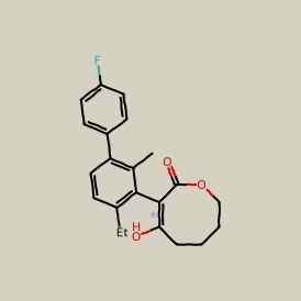 CCc1ccc(-c2ccc(F)cc2)c(C)c1/C1=C(\O)CCCCOC1=O